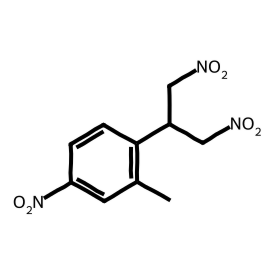 Cc1cc([N+](=O)[O-])ccc1C(C[N+](=O)[O-])C[N+](=O)[O-]